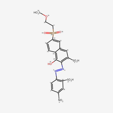 O=[N+]([O-])c1ccc(/N=N/c2c(S(=O)(=O)O)cc3cc(S(=O)(=O)CCOS(=O)(=O)O)ccc3c2O)c(S(=O)(=O)O)c1